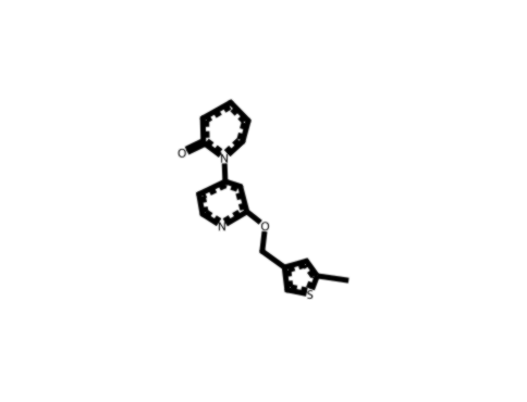 Cc1cc(COc2cc(-n3ccccc3=O)ccn2)cs1